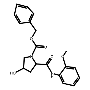 COc1ccccc1NC(=O)C1CC(O)CN1C(=O)OCc1ccccc1